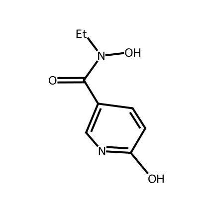 CCN(O)C(=O)c1ccc(O)nc1